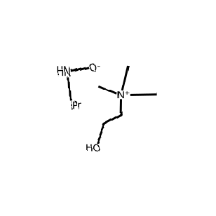 CC(C)N[O-].C[N+](C)(C)CCO